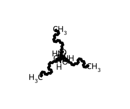 CC/C=C\C/C=C\C/C=C\C/C=C\C/C=C\CCCC(=O)Nc1nc(NC(=O)CCC/C=C\C/C=C\C/C=C\C/C=C\C/C=C\CC)nc(NC(=O)CCC/C=C\C/C=C\C/C=C\C/C=C\C/C=C\CC)n1